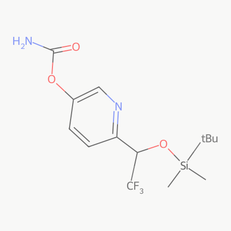 CC(C)(C)[Si](C)(C)OC(c1ccc(OC(N)=O)cn1)C(F)(F)F